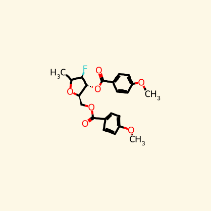 COc1ccc(C(=O)OC[C@H]2OC(C)[C@@H](F)[C@@H]2OC(=O)c2ccc(OC)cc2)cc1